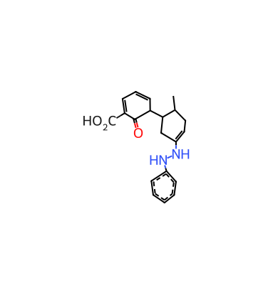 CC1CC=C(NNc2ccccc2)CC1C1C=CC=C(C(=O)O)C1=O